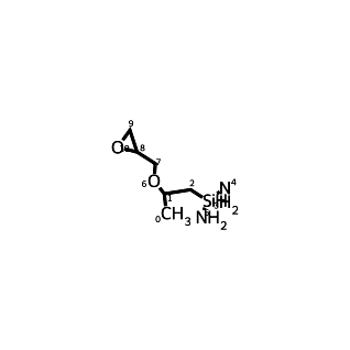 CC(C[SiH](N)N)OCC1CO1